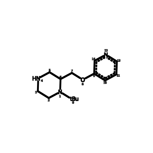 CC(C)(C)N1CCNCC1COc1cccnc1